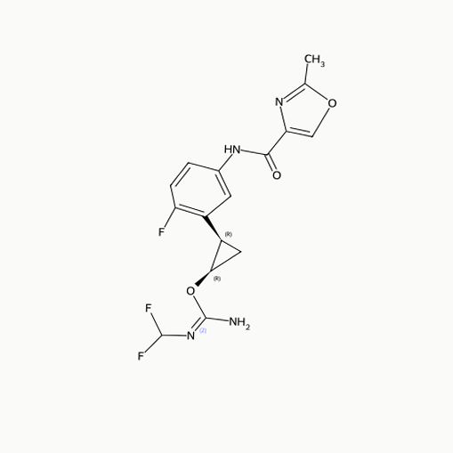 Cc1nc(C(=O)Nc2ccc(F)c([C@H]3C[C@H]3O/C(N)=N\C(F)F)c2)co1